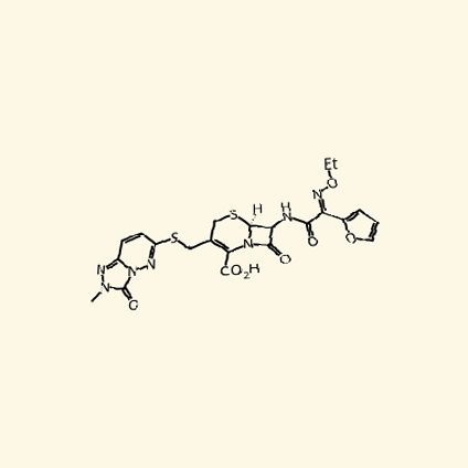 CCON=C(C(=O)NC1C(=O)N2C(C(=O)O)=C(CSc3ccc4nn(C)c(=O)n4n3)CS[C@@H]12)c1ccco1